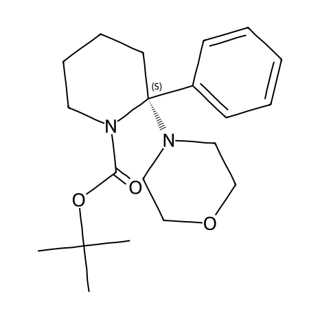 CC(C)(C)OC(=O)N1CCCC[C@]1(c1ccccc1)N1CCOCC1